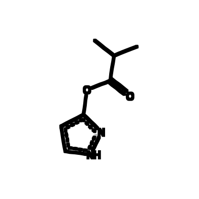 CC(C)C(=O)Oc1cc[nH]n1